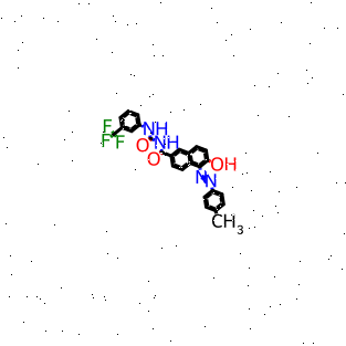 Cc1ccc(N=Nc2c(O)ccc3cc(C(=O)NC(=O)Nc4cccc(C(F)(F)F)c4)ccc23)cc1